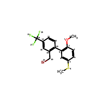 COc1ccc(SC)cc1-c1ccc(C(F)(F)F)cc1CBr